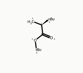 CCCC[C@H](C)C(=O)OC(C)(C)C